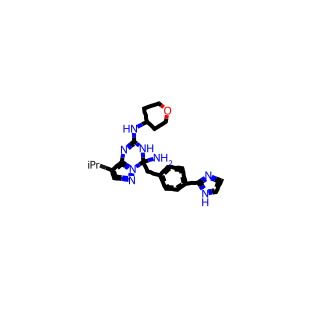 CC(C)c1cnn2c1N=C(NC1CCOCC1)NC2(N)Cc1ccc(-c2ncc[nH]2)cc1